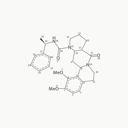 COc1ccc2c(c1OC)C1CC3C(CCCN3C(=O)N[C@H](C)c3ccccc3)C(=O)N1CC2